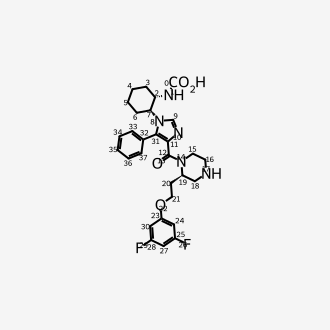 O=C(O)N[C@H]1CCCC[C@@H]1n1cnc(C(=O)N2CCNC[C@H]2CCOc2cc(F)cc(F)c2)c1-c1ccccc1